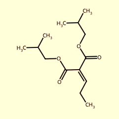 CCC=C(C(=O)OCC(C)C)C(=O)OCC(C)C